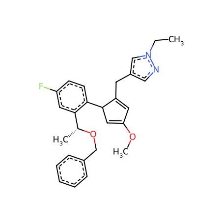 CCn1cc(CC2=CC(OC)=CC2c2ccc(F)cc2[C@@H](C)OCc2ccccc2)cn1